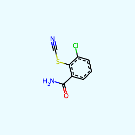 N#CSc1c(Cl)cccc1C(N)=O